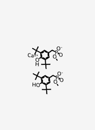 COP(=O)([O-])Cc1cc(C(C)(C)C)c(O)c(C(C)(C)C)c1.COP(=O)([O-])Cc1cc(C(C)(C)C)c(O)c(C(C)(C)C)c1.[Ca+2]